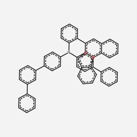 c1ccc(-c2ccc(N(c3ccc(-c4cccc(-c5ccccc5)c4)cc3)c3ccccc3-c3cc4ccccc4c4c3oc3ccccc34)cc2)cc1